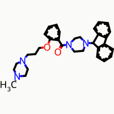 CN1CCN(CCCOc2ccccc2C(=O)N2CCN(C3c4ccccc4-c4ccccc43)CC2)CC1